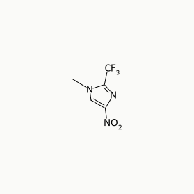 Cn1cc([N+](=O)[O-])nc1C(F)(F)F